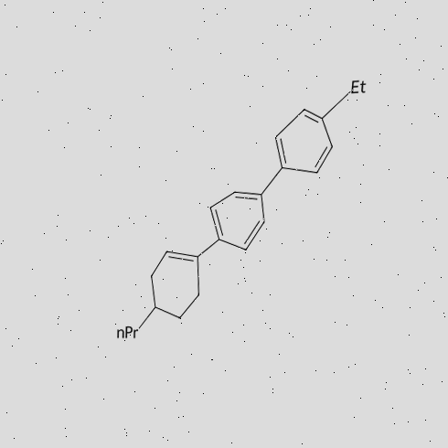 CCCC1CC=C(c2ccc(-c3ccc(CC)cc3)cc2)CC1